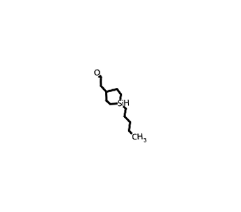 CCCCC[SiH]1CCC(CC=O)CC1